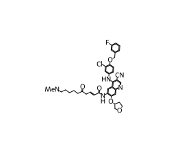 CNCCCCCC(=O)C/C=C/C(=O)Nc1cc2c(Nc3ccc(OCc4cccc(F)c4)c(Cl)c3)c(C#N)cnc2cc1OC1CCOC1